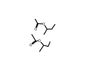 CCC(C)OC(C)=O.CCC(C)OC(C)=O